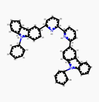 c1ccc(-n2c3ccccc3c3cc(-c4cccc(-c5cccc(-c6ccc7c(c6)c6ccccc6n7-c6ccccc6)n5)n4)ccc32)cc1